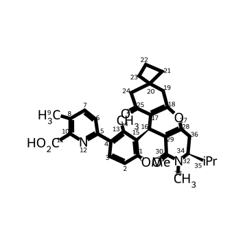 COc1ccc(-c2ccc(C)c(C(=O)O)n2)c(C)c1[C@H]1C2=C(CC3(CCC3)CC2=O)OC2=C1C(=O)N(C)[C@H](C(C)C)C2